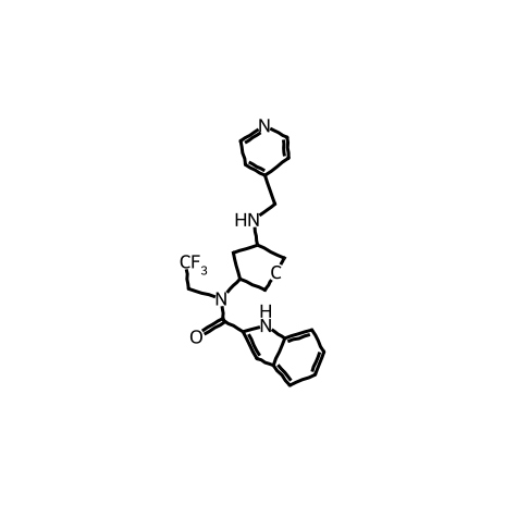 O=C(c1cc2ccccc2[nH]1)N(CC(F)(F)F)C1CCCC(NCc2ccncc2)C1